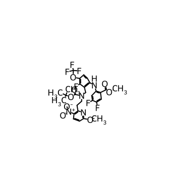 COC(=O)c1cc(F)c(F)cc1Nc1ccc(OC(F)(F)F)c(F)c1CN(CCc1nc(OC)ccc1[N+](=O)[O-])C(=O)OC(C)(C)C